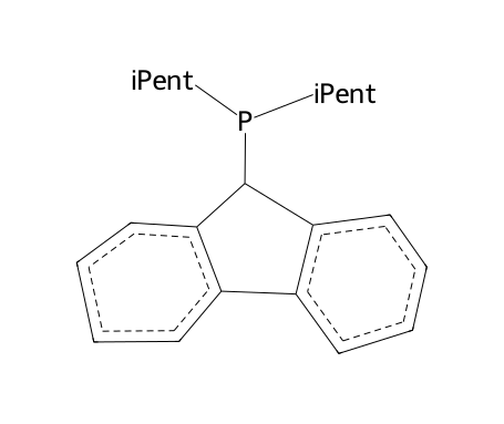 CCCC(C)P(C(C)CCC)C1c2ccccc2-c2ccccc21